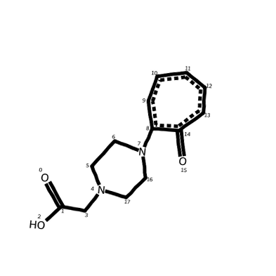 O=C(O)CN1CCN(c2cccccc2=O)CC1